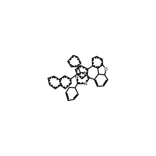 C1=CCC(c2nc(C3=CC=CC4Oc5cccc(-c6ccc(-c7ccc8ccccc8c7)cc6)c5C34)nc(-c3ccccc3)n2)C=C1